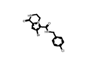 O=C1NCCn2c1cc(Br)c2C(=O)NCc1ccc(Cl)cc1